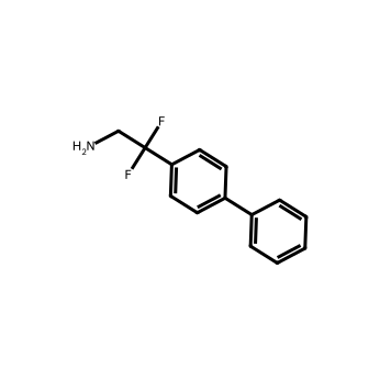 NCC(F)(F)c1ccc(-c2ccccc2)cc1